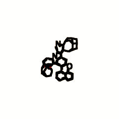 c1cc2cccc3c2c(c1)oc1cc2c4c5c(ncc4n4c6ccc7c(c6c(c13)c24)C1CC2CC(CC7C2)C1)C1CC2CC3CC5CC23C1